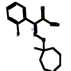 COC(=O)/C(=N\OC1(C)CCCCCC1)c1ccccc1F